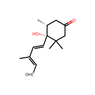 CC(C=C[C@@]1(O)[C@H](C)CC(=O)CC1(C)C)=CC=O